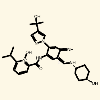 CC(C)c1cccc(C(=O)NC2=C/C(=C/N[C@H]3CC[C@H](O)CC3)C(=N)C=C2n2cc(C(C)(C)O)cn2)[n+]1O